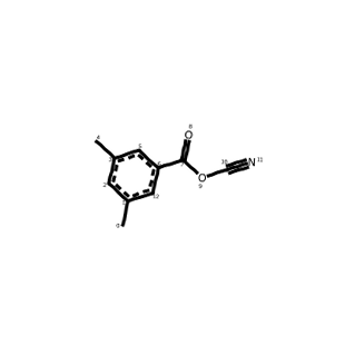 Cc1cc(C)cc(C(=O)OC#N)c1